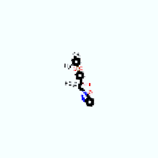 Cc1ccc(S(=O)(=O)c2ccc([C@@H](O)[C@H](CCn3nnc4ccccc4c3=O)C(=O)O)cc2)c(C)c1